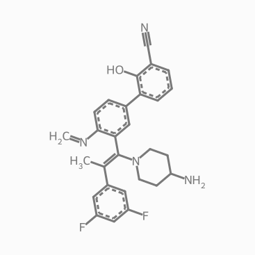 C=Nc1ccc(-c2cccc(C#N)c2O)cc1/C(=C(\C)c1cc(F)cc(F)c1)N1CCC(N)CC1